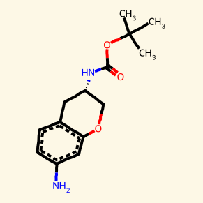 CC(C)(C)OC(=O)N[C@@H]1COc2cc(N)ccc2C1